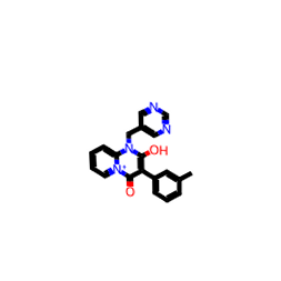 Cc1cccc(-c2c(O)n(Cc3cncnc3)c3cccc[n+]3c2=O)c1